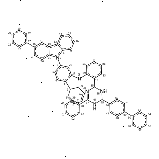 C1=CC2c3ccc(-n4c5ccccc5c5cc(-c6ccccc6)ccc54)cc3N(c3ccccc3C3N=C(c4ccccc4)NC(c4ccc(-c5ccccc5)cc4)N3)C2C=C1